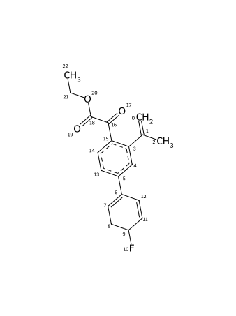 C=C(C)c1cc(C2=CCC(F)C=C2)ccc1C(=O)C(=O)OCC